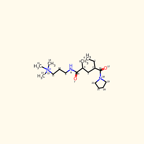 CCC(CC(C)C(=O)NCCC[N+](C)(C)C)C(=O)N1CCCC1